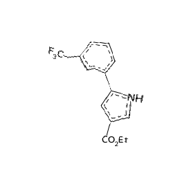 CCOC(=O)c1c[nH]c(-c2cccc(C(F)(F)F)c2)c1